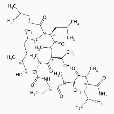 C=C(C(=O)N(C)[C@@H](CC(C)C)C(N)=O)N(C)C(=O)[C@H](CC)NC(=O)[C@H]([C@H](O)[C@H](C)CCCC)N(C)C(=O)[C@H](C(C)C)N(C)C(=O)[C@H](CC(C)C)N(C)C(=O)CCC(C)C